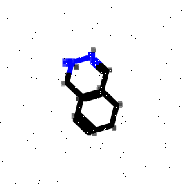 C1#CC2=C(C=NNC2)CC1